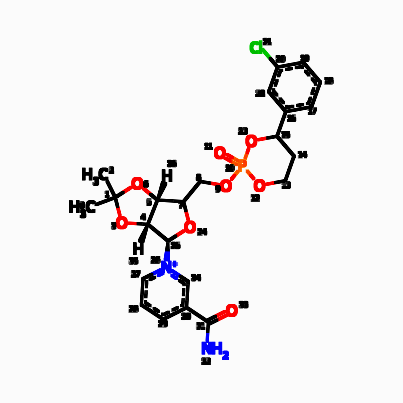 CC1(C)O[C@@H]2[C@H](O1)C(COP1(=O)OCCC(c3cccc(Cl)c3)O1)O[C@H]2[n+]1cccc(C(N)=O)c1